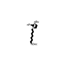 CCCCCCCCCCCCCCCCC[n+]1ccn(CCCC)c1CCC